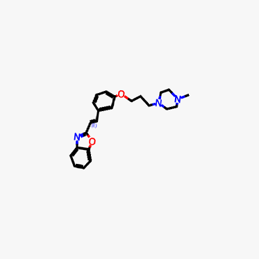 CN1CCN(CCCOc2cccc(/C=C/c3nc4ccccc4o3)c2)CC1